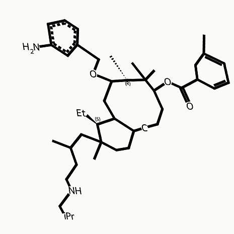 CC[C@H]1C2CC(OCc3cccc(N)c3)[C@H](C)C(C)(C)C(OC(=O)C3C=CC=C(C)C3)CCCC2CCC1(C)CC(C)CCNCC(C)C